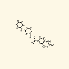 O=C1COc2cc(C(=O)CCN3CCC[C@@H](Cc4ccccc4)C3)ccc2N1